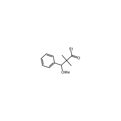 CCC(=O)C(C)(C)C(OC)c1ccccc1